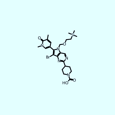 Cc1cc(-c2c(Br)c3nc(C4CCN(C(=O)O)CC4)ncc3n2COCC[Si](C)(C)C)cn(C)c1=O